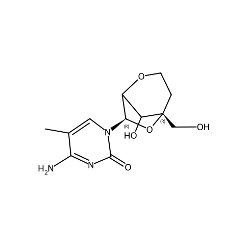 Cc1cn([C@@H]2O[C@@]3(CO)CCOC2C3O)c(=O)nc1N